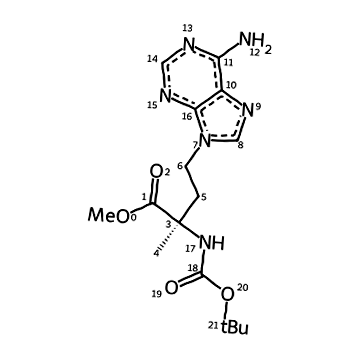 COC(=O)[C@@](C)(CCn1cnc2c(N)ncnc21)NC(=O)OC(C)(C)C